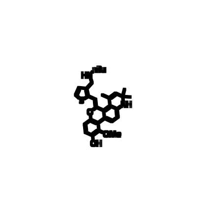 CCCCNCc1ccsc1/C=C1\Oc2ccc(O)c(OC)c2-c2ccc3c(c21)C(C)=CC(C)(C)N3